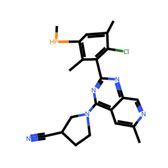 CPc1cc(C)c(Cl)c(-c2nc(N3CCC(C#N)C3)c3cc(C)ncc3n2)c1C